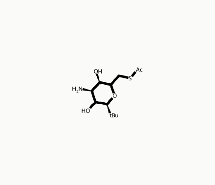 CC(=O)SCC1O[C@@H](C(C)(C)C)C(O)[C@@H](N)[C@H]1O